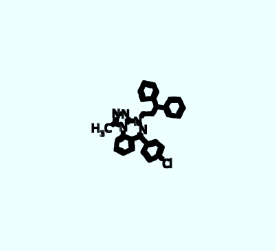 Cc1nnc2n1-c1ccccc1C(c1ccc(Cl)cc1)=NN2CCC(c1ccccc1)c1ccccc1